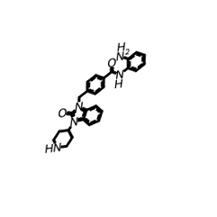 Nc1ccccc1NC(=O)c1ccc(Cn2c(=O)n(C3CCNCC3)c3ccccc32)cc1